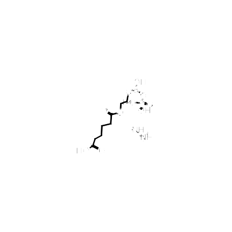 N.N.N.O=C(O)CCCCC(=O)OCCOB(O)OP(=O)(O)O